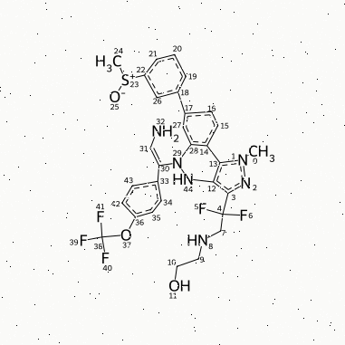 Cn1nc(C(F)(F)CNCCO)c2c1-c1ccc(-c3cccc([S+](C)[O-])c3)cc1N(/C(=C\N)c1ccc(OC(F)(F)F)cc1)N2